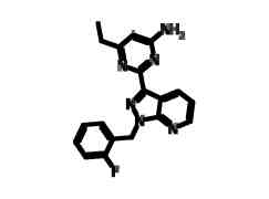 CCc1[c]c(N)nc(-c2nn(Cc3ccccc3F)c3ncccc23)n1